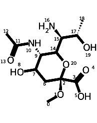 CO[C@@]1(C(=O)O)CC(O)[C@H](NC(C)=O)C([C@@H](N)[C@H](C)O)O1